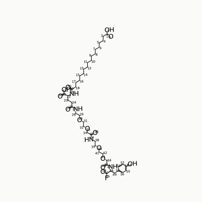 O=C(O)CCCCCCCCCCCCCCCCC(=O)N[C@@H](CCC(=O)NCCOCCOCC(=O)NCCOCCOCC(=O)NC(Cc1ccc(O)cc1)C(=O)F)C(=O)O